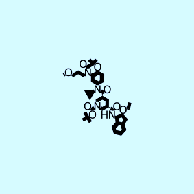 CCO[C@H]1Cc2ccccc2[C@H]1NC(=O)[C@H]1C[C@@H](C(=O)N(c2ccc3c(c2)N(CCCOC)C(=O)C(C)(C)O3)C2CC2)CN(C(=O)OC(C)(C)C)C1